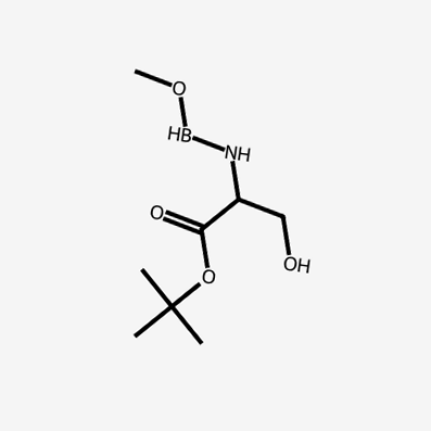 COBNC(CO)C(=O)OC(C)(C)C